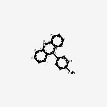 CCCc1ccc(-c2c3ccccc3nc3ccccc23)cc1